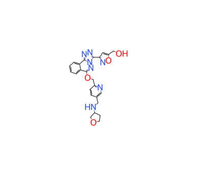 OCc1cc(-c2nnc3c4ccccc4c(OCc4ccc(CNC5CCOC5)cn4)nn23)no1